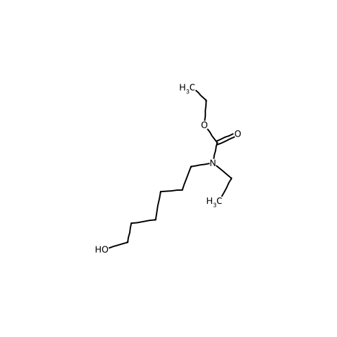 CCOC(=O)N(CC)CCCCCCO